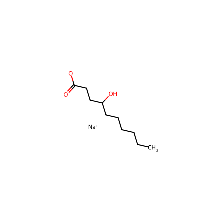 CCCCCCC(O)CCC(=O)[O-].[Na+]